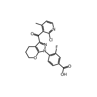 Cc1ccnc(Cl)c1C(=O)c1nn(-c2ccc(C(=O)O)cc2F)c2c1CCCO2